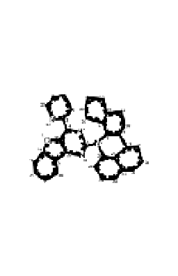 c1ccc(-c2nc(N3c4c(ccc5ccccc45)-c4cccc5cccc3c45)nc3c2oc2ccccc23)nc1